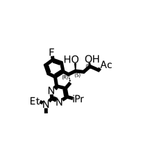 CCN(C)c1nc2c(c(C(C)C)n1)C[C@@H]([C@@H](O)C[C@@H](O)CC(C)=O)c1cc(F)ccc1-2